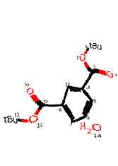 CC(C)(C)OC(=O)c1cccc(C(=O)OC(C)(C)C)c1.O